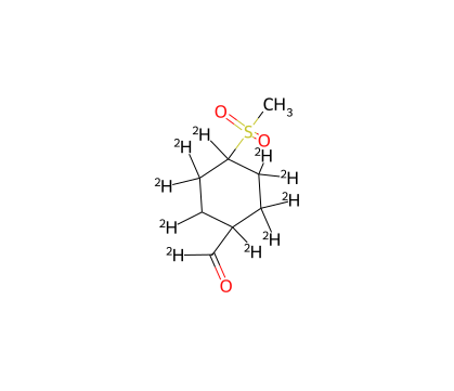 [2H]C(=O)C1([2H])C([2H])C([2H])([2H])C([2H])(S(C)(=O)=O)C([2H])([2H])C1([2H])[2H]